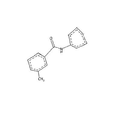 Cc1cccc(C(=O)Nc2cc[c]cc2)c1